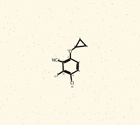 N#Cc1c(OC2CC2)ccc(Cl)c1I